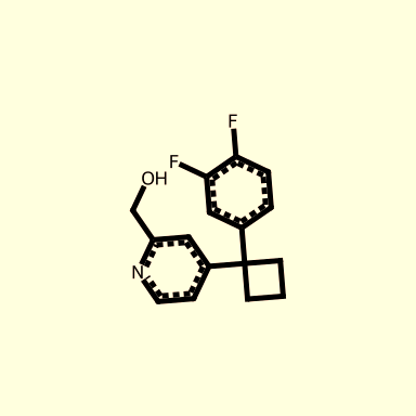 OCc1cc(C2(c3ccc(F)c(F)c3)CCC2)ccn1